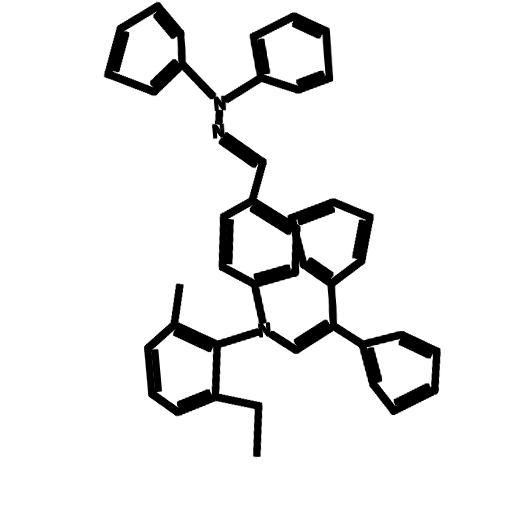 CCc1cccc(C)c1N(C=C(c1ccccc1)c1ccccc1)c1ccc(/C=N/N(c2ccccc2)c2ccccc2)cc1